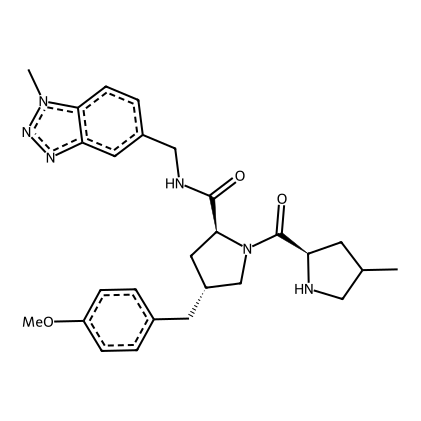 COc1ccc(C[C@@H]2C[C@@H](C(=O)NCc3ccc4c(c3)nnn4C)N(C(=O)[C@H]3CC(C)CN3)C2)cc1